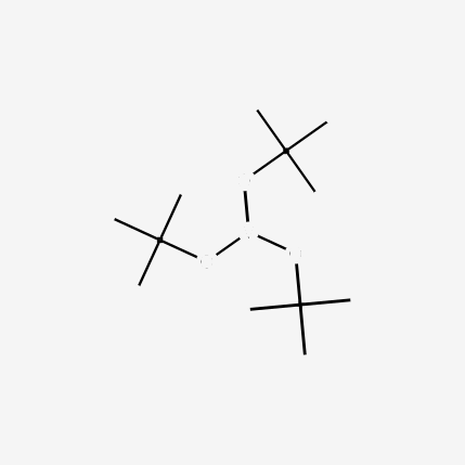 CC(C)(C)[O][V]([O]C(C)(C)C)[O]C(C)(C)C